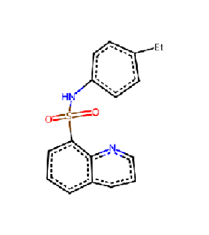 CCc1ccc(NS(=O)(=O)c2cccc3cccnc23)cc1